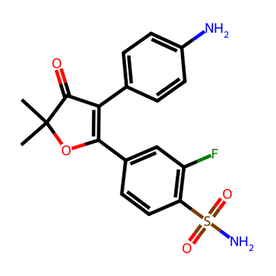 CC1(C)OC(c2ccc(S(N)(=O)=O)c(F)c2)=C(c2ccc(N)cc2)C1=O